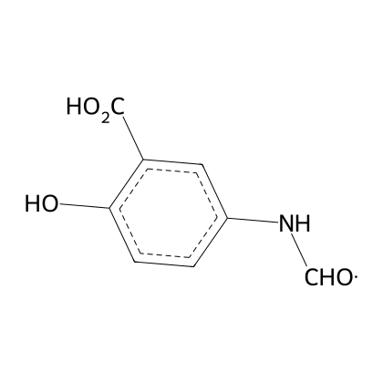 O=[C]Nc1ccc(O)c(C(=O)O)c1